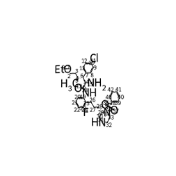 CCOCCC(C)[C@H](c1ccc(Cl)cc1)[C@H](N)C(=O)Nc1cccc(F)c1CCC[C@H]1CNCCN1S(=O)(=O)c1ccccc1